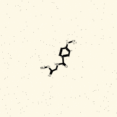 CC(C)(C)OC(=O)CNC(=O)c1ccc(OC(F)(F)F)cc1